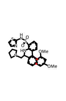 COc1ccc(Cc2cccc(S(=O)(=O)Nc3nccs3)c2NC(CN2CCCC2)c2ccccc2)c(OC)c1